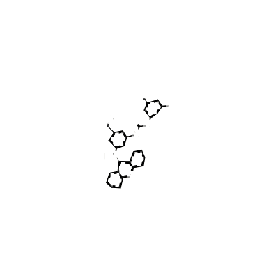 O=C(Nc1cc(Cl)cc(Cl)c1)Nc1cc(CO)cc(Nc2c3ccccc3nc3ccccc23)c1